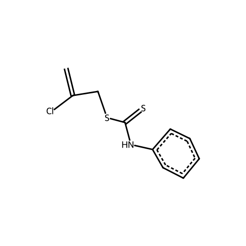 C=C(Cl)CSC(=S)Nc1ccccc1